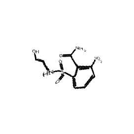 NC(=O)c1c([N+](=O)[O-])cccc1S(=O)(=O)NCCO